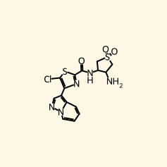 NC1CS(=O)(=O)CC1NC(=O)c1nc(-c2cnn3ccccc23)c(Cl)s1